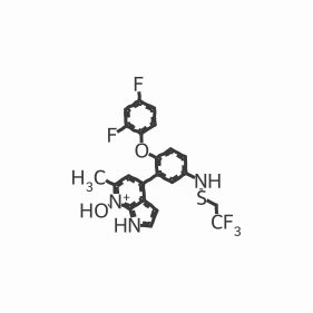 Cc1cc(-c2cc(NSCC(F)(F)F)ccc2Oc2ccc(F)cc2F)c2cc[nH]c2[n+]1O